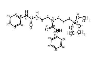 CO[Si](CCCN(CCNC(=O)Nc1ccccc1)C(=O)Nc1ccccc1)(OC)OC